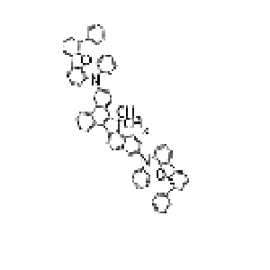 CC1(C)c2c(ccc3cc(N(c4ccccc4)c4cccc5c4oc4c(-c6ccccc6)cccc45)ccc23)-c2c1c1ccc(N(c3ccccc3)c3cccc4c3oc3c(-c5ccccc5)cccc34)cc1c1ccccc21